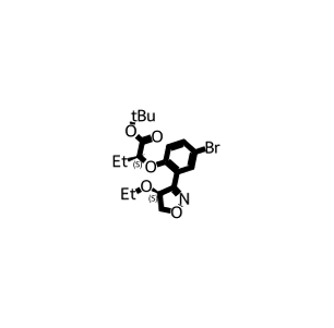 CCO[C@@H]1CON=C1c1cc(Br)ccc1O[C@@H](CC)C(=O)OC(C)(C)C